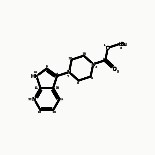 CC(C)(C)OC(=O)N1CCN(c2c[nH]c3ncccc23)CC1